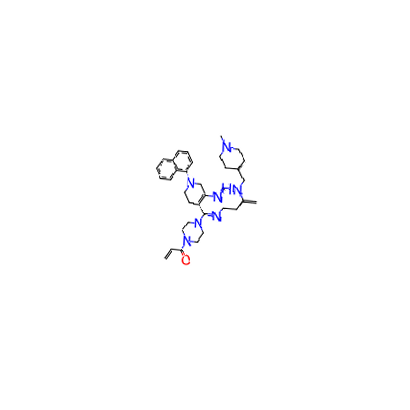 C=CC(=O)N1CCN(/C(=N/CCC(=C)NCC2CCN(C)CC2)C2=C(N=C)CN(c3cccc4ccccc34)CC2)CC1